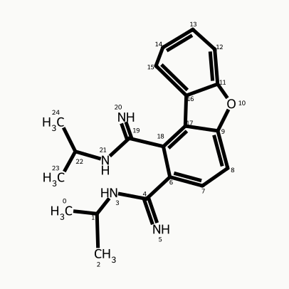 CC(C)NC(=N)c1ccc2oc3ccccc3c2c1C(=N)NC(C)C